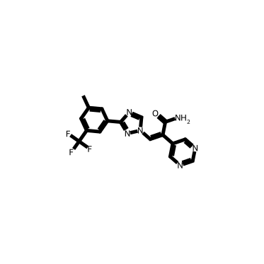 Cc1cc(-c2ncn(/C=C(\C(N)=O)c3cncnc3)n2)cc(C(F)(F)F)c1